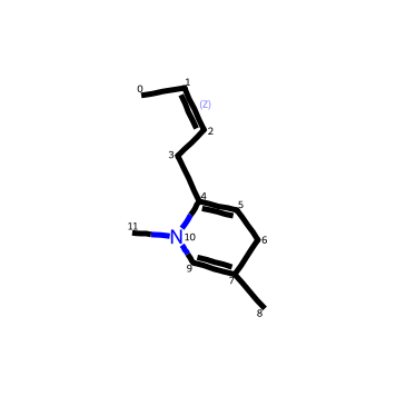 C/C=C\CC1=CCC(C)=CN1C